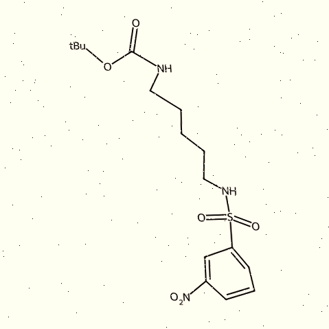 CC(C)(C)OC(=O)NCCCCCNS(=O)(=O)c1cccc([N+](=O)[O-])c1